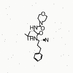 CC(C)(C)C[C@H](NC(=O)N1CCOCC1)C(=O)N[C@H](C#N)CCc1ccccc1